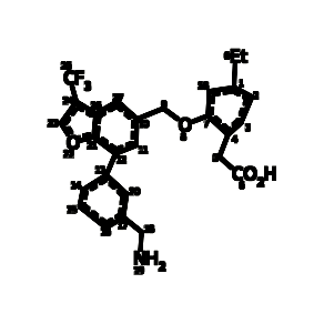 CCc1ccc(CC(=O)O)c(OCc2cc(-c3cccc(CN)c3)c3occ(C(F)(F)F)c3c2)c1